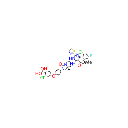 COC(=O)C1=C(CN2CCN3C(=O)N(c4ccc(Oc5ccc(C(O)O)c(Cl)c5)cc4)C[C@@H]3C2)NC(c2nccs2)=N[C@H]1c1ccc(F)cc1Cl